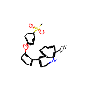 CS(=O)(=O)c1ccc(Oc2cccc(-c3ccnc4c(C#N)cccc34)c2)cc1